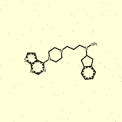 CCCN(CCCN1CCN(c2ncnc3sccc23)CC1)C1Cc2ccccc2C1